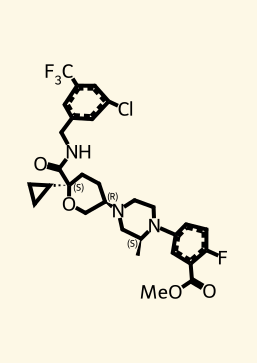 COC(=O)c1cc(N2CCN([C@@H]3CC[C@@](C(=O)NCc4cc(Cl)cc(C(F)(F)F)c4)(C4CC4)OC3)C[C@@H]2C)ccc1F